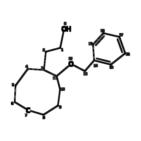 OCCC1CCCCCCCC1OCc1ccccc1